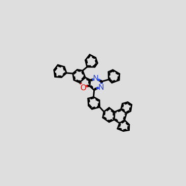 c1ccc(-c2cc(-c3ccccc3)c3c(c2)oc2c(-c4cccc(-c5ccc6c7ccccc7c7ccccc7c6c5)c4)nc(-c4ccccc4)nc23)cc1